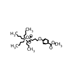 CCCCP(CCCC)(CCCC)(CCCC)OS(=O)(=O)CCCOc1ccc(C(=O)OC)cc1